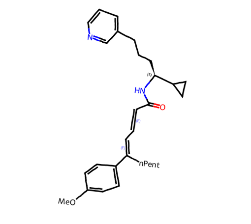 CCCCC/C(=C\C=C\C(=O)N[C@@H](CCCc1cccnc1)C1CC1)c1ccc(OC)cc1